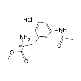 COC(=O)[C@H](N)Cc1cccc(NC(C)=O)c1.Cl